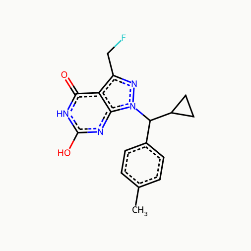 Cc1ccc(C(C2CC2)n2nc(CF)c3c(=O)[nH]c(O)nc32)cc1